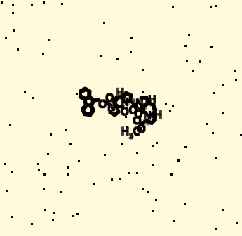 COC(=O)[C@@H]1CC[C@@H]2C=C[C@H]3CCN(C(=O)[C@@H]4CC[C@H]5C=C[C@]6(CCCN6C(=O)OCC6c7ccccc7-c7ccccc76)C(=O)N54)[C@@H]3C(=O)N21